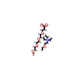 CCOCC[N+](CC)(CC)CC.COCCOCCOCCOCCC(=O)[O-]